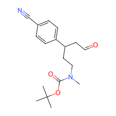 CN(CCC(CC=O)c1ccc(C#N)cc1)C(=O)OC(C)(C)C